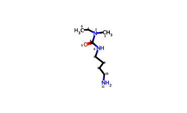 CCN(C)C(=O)NCCCCN